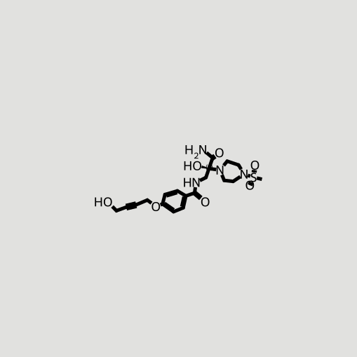 CS(=O)(=O)N1CCN([C@](O)(CNC(=O)c2ccc(OCC#CCO)cc2)C(N)=O)CC1